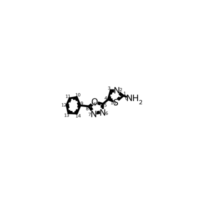 Nc1ncc(-c2nnc(-c3ccccc3)o2)s1